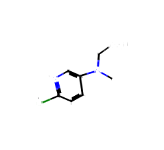 CN(CC(=O)O)c1ccc(Cl)nc1